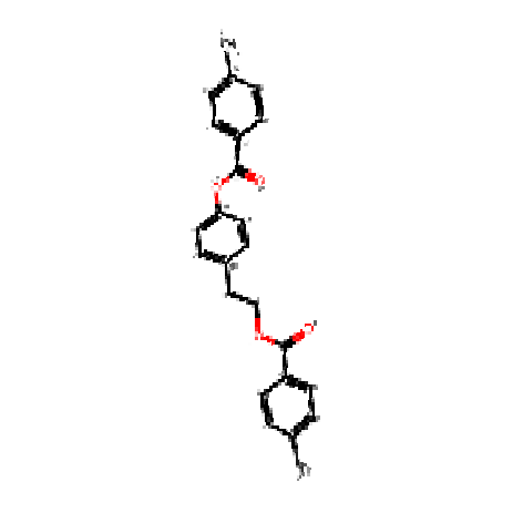 CCCc1ccc(C(=O)OCCc2ccc(OC(=O)c3ccc(C)cc3)cc2)cc1